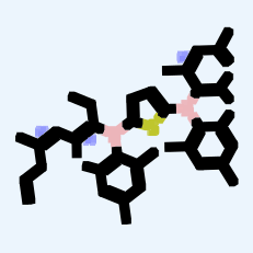 C=CC/C(C)=C\C(C)=C(/CC)B(c1ccc(B(C(=C(C)C)/C(C)=C\C(=C)C)c2c(C)cc(C)cc2C)s1)c1c(C)cc(C)cc1C